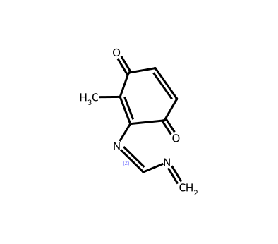 C=N/C=N\C1=C(C)C(=O)C=CC1=O